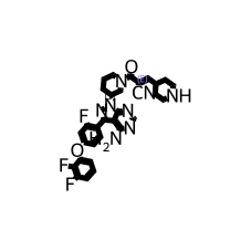 N#C/C(=C\C1CCNCC1)C(=O)N1CCC[C@H](n2nc(-c3ccc(Oc4cccc(F)c4F)cc3F)c3c(N)ncnc32)C1